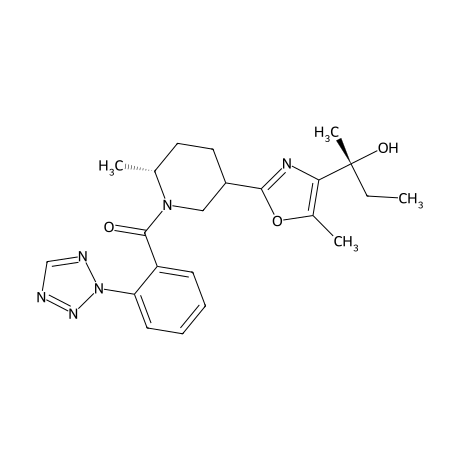 CC[C@@](C)(O)c1nc(C2CC[C@@H](C)N(C(=O)c3ccccc3-n3ncnn3)C2)oc1C